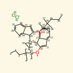 CCCC(C)(C)[Si](C)(C)OC1=Cc2ccccc2[CH]1[Zr+2]1([CH]2C(O[Si](C)(C)C(C)(C)CCC)=Cc3ccccc32)[CH2][CH2]1.[Cl-].[Cl-]